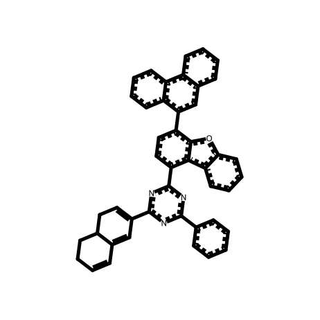 C1=CC2=CC(c3nc(-c4ccccc4)nc(-c4ccc(-c5cc6ccccc6c6ccccc56)c5oc6ccccc6c45)n3)=CCC2CC1